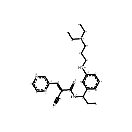 CCC(NC(=O)/C(C#N)=C/c1cnccn1)c1cccc(NCCCN(CC)CC)c1